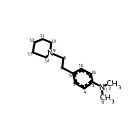 CN(C)c1ccc(CCN2CCCCC2)cc1